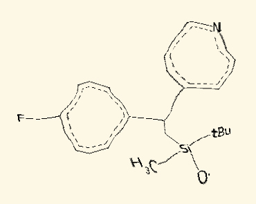 CC(C)(C)[Si](C)([O])C(c1ccncc1)c1ccc(F)cc1